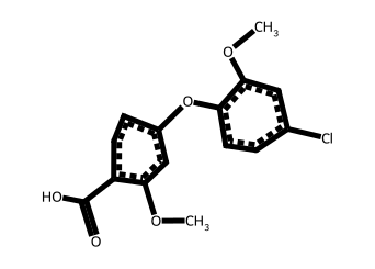 COc1cc(Cl)ccc1Oc1ccc(C(=O)O)c(OC)c1